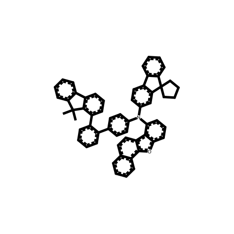 CC1(C)c2ccccc2-c2cccc(-c3ccccc3-c3ccc(N(c4ccc5c(c4)C4(CCCC4)c4ccccc4-5)c4cccc5oc6c7ccccc7ccc6c45)cc3)c21